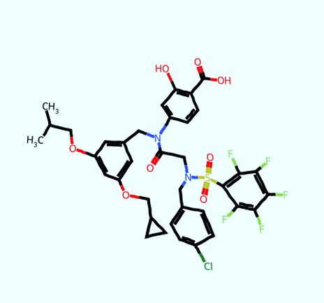 CC(C)COc1cc(CN(C(=O)CN(Cc2ccc(Cl)cc2)S(=O)(=O)c2c(F)c(F)c(F)c(F)c2F)c2ccc(C(=O)O)c(O)c2)cc(OCC2CC2)c1